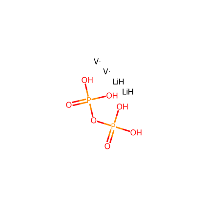 O=P(O)(O)OP(=O)(O)O.[LiH].[LiH].[V].[V]